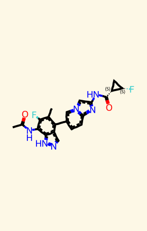 CC(=O)Nc1c(F)c(C)c(-c2ccc3nc(NC(=O)[C@@H]4C[C@@H]4F)cn3c2)c2cn[nH]c12